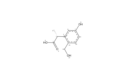 C[C@@H](C(=O)O)[n+]1cc(O)ccc1CO